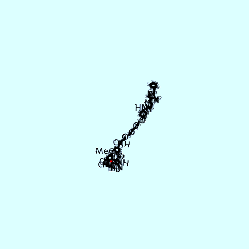 COc1cc(C(=O)NCCOCCOCCOCCO[C@H]2CC[C@H](Nc3nccc(-c4cnn(Cc5ccccc5)c4N(C)C)n3)CC2)ccc1NC(=O)[C@@H]1N[C@@H](CC(C)(C)C)[C@](C#N)(c2ccc(Cl)cc2F)[C@H]1c1cccc(Cl)c1F